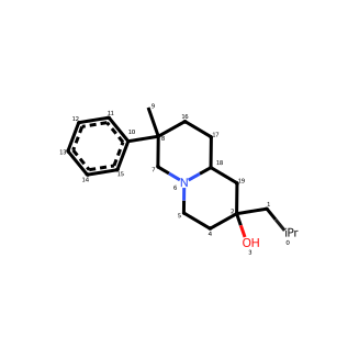 CC(C)CC1(O)CCN2CC(C)(c3ccccc3)CCC2C1